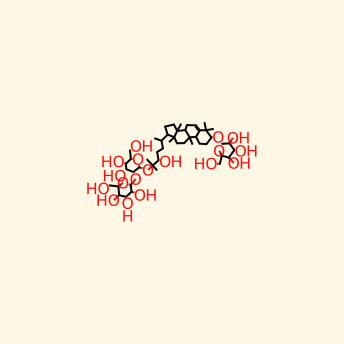 CC(CCC(O)C(C)(C)OC1OC(CO)C(O)C(O)C1OC1OC(CO)C(O)C(O)C1O)C1CCC2(C)C3CC=C4C(CCC(OC5OC(CO)C(O)C(O)C5O)C4(C)C)C3(C)CCC12C